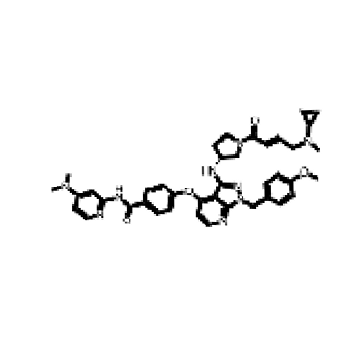 COc1ccc(Cn2nc(N[C@@H]3CCN(C(=O)/C=C/CN(C)C4CC4)C3)c3c(Oc4ccc(C(=O)Nc5cc(N(C)C)ccn5)cc4)ccnc32)cc1